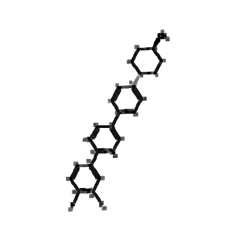 C[C@H]1CC[C@H](c2ccc(-c3cnc(-c4ccc(F)c(F)c4)nc3)cc2)CC1